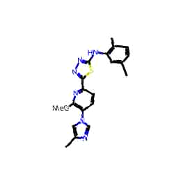 COc1nc(-c2nnc(Nc3cc(C)ccc3C)s2)ccc1-n1cnc(C)c1